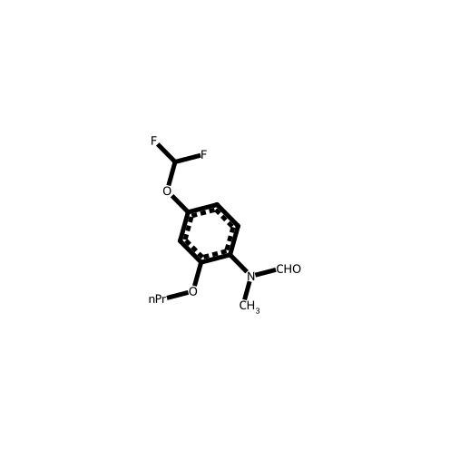 CCCOc1cc(OC(F)F)ccc1N(C)C=O